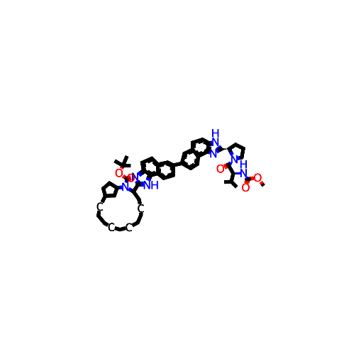 COC(=O)N[C@H](C(=O)N1CCC[C@H]1c1nc2c(ccc3cc(-c4ccc5c(ccc6nc(C7CCCCCCCCCCC8CCC(C8)N7C(=O)OC(C)(C)C)[nH]c65)c4)ccc32)[nH]1)C(C)C